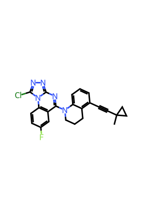 CC1(C#Cc2cccc3c2CCCN3c2nc3nnc(Cl)n3c3ccc(F)cc23)CC1